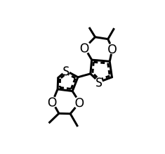 CC1Oc2csc(-c3scc4c3OC(C)C(C)O4)c2OC1C